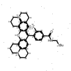 CC(C)(C)CNC(=O)c1ccc(C2=c3cc4c5c(c3Oc3c2cc2c6c3CCCN6CCC2)CCC[N+]=5CCC4)c(C(=O)O)c1